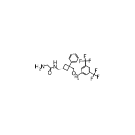 C[C@@H](OC[C@]1(c2ccccc2)C[C@@H](CNC(=O)CN)C1)c1cc(C(F)(F)F)cc(C(F)(F)F)c1